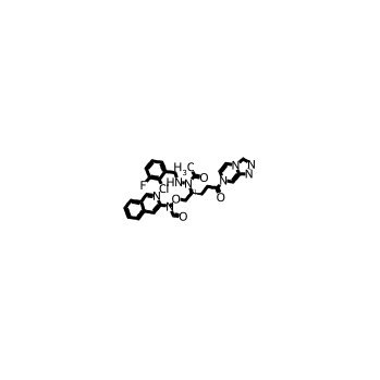 CC(=O)N(NCc1cccc(F)c1Cl)[C@@H](CCC(=O)N1C=CN2CN=NC2=C1)CON(C=O)c1cc2ccccc2cn1